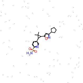 CC1(C)C(c2ccc(S(N)(=O)=O)nc2)C1c1cc(C2CCCC2)no1